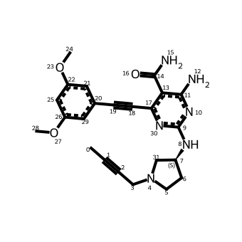 CC#CCN1CC[C@H](Nc2nc(N)c(C(N)=O)c(C#Cc3cc(OC)cc(OC)c3)n2)C1